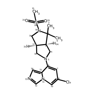 CC1(C)[C@H]2CN(c3cc(Cl)cn4cncc34)C[C@H]2CN1S(C)(=O)=O